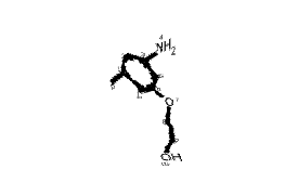 Cc1cc(N)cc(OCCO)c1